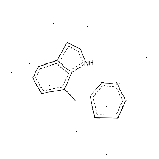 Cc1cccc2cc[nH]c12.c1ccncc1